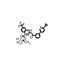 CC(C)(C)OC(=O)Nc1ccc(C(F)(F)F)cc1NC(=O)CC(=O)c1cccc(-c2ccc(C3CC3)nc2)c1